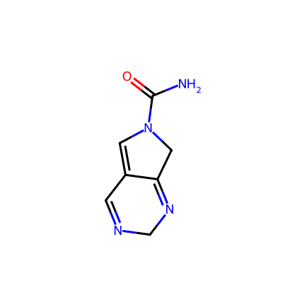 NC(=O)N1C=C2C=NCN=C2C1